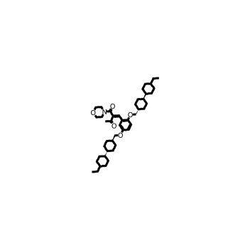 CCC1CCC([C@H]2CC[C@H](COc3ccc(OC[C@H]4CC[C@H](C5CCC(CC)CC5)CC4)c(/C=C(\C(C)=O)C(=O)N4CCOCC4)c3)CC2)CC1